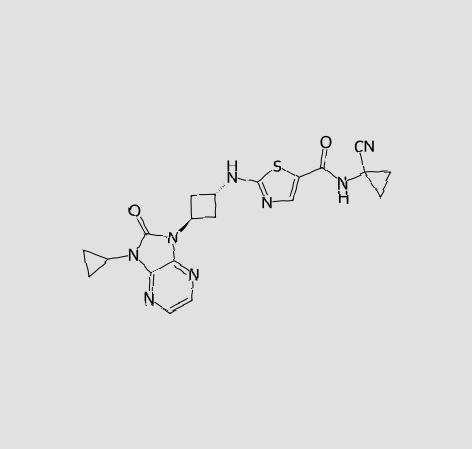 N#CC1(NC(=O)c2cnc(N[C@H]3C[C@H](n4c(=O)n(C5CC5)c5nccnc54)C3)s2)CC1